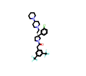 O=C(Cc1cc(C(F)(F)F)cc(C(F)(F)F)c1)N1CC[C@@](CCN2CCC(N3CCCCC3)CC2)(c2cccc(Cl)c2)C1